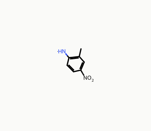 Cc1cc([N+](=O)[O-])ccc1[NH]